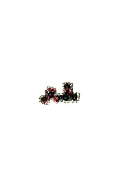 Cc1cccc2c(-c3cccc(Cc4cccc5c(-c6ccccc6)nc(-c6ccccc6)cc45)c3)cc(-c3ccccc3)nc12